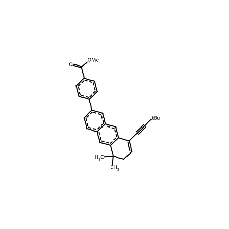 COC(=O)c1ccc(-c2ccc3cc4c(cc3c2)C(C#CC(C)(C)C)=CCC4(C)C)cc1